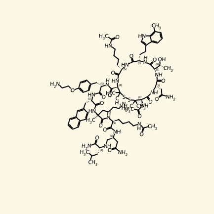 CC(=O)NCCCC[C@@H]1NC(=O)[C@H](CCc2c[nH]c3c(C)cccc23)NC(=O)[C@H]([C@@H](C)O)NC(=O)[C@H](CC(N)=O)NC(=O)[C@@H](NC(C)=O)C(C)(C)SSC(C)(C)[C@@H](C(=O)N[C@@H](Cc2ccc(OCCN)cc2)C(=O)N[C@@H](Cc2ccc3ccccc3c2)C(=O)N[C@@](C)(CCCCN)C(=O)N[C@@H](CCCCNC(C)=O)C(=O)N[C@H](CN[C@H](CC(C)C)C(N)=O)CC(N)=O)NC1=O